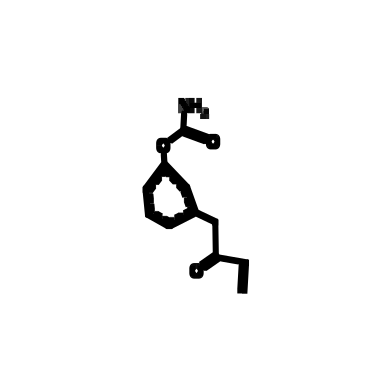 C=CC(=O)Cc1cccc(OC(N)=O)c1